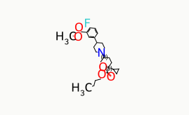 CCCCOC(=O)[C@@]1(C2CC2)CC[C@@H](N2CCC(c3ccc(F)c(C(=O)OC)c3)CC2)CO1